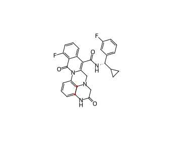 O=C1CN(Cc2c(C(=O)N[C@H](c3cccc(F)c3)C3CC3)c3cccc(F)c3c(=O)n2-c2ccccc2)CCN1